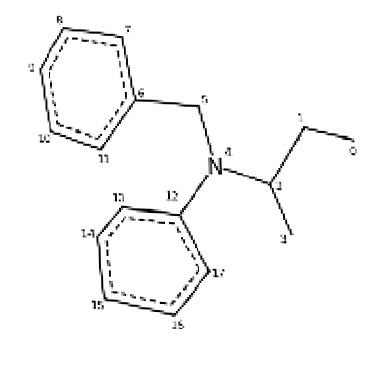 CCC(C)N(Cc1ccccc1)c1ccccc1